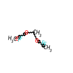 CCOc1ccc(CCc2ccc(OCCCCCCC(C)CCCCCCOc3ccc(CCc4ccc(C)c(F)c4F)cc3)cc2)c(F)c1F